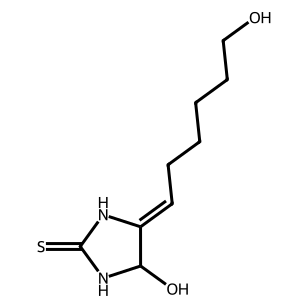 OCCCCC/C=C1\NC(=S)NC1O